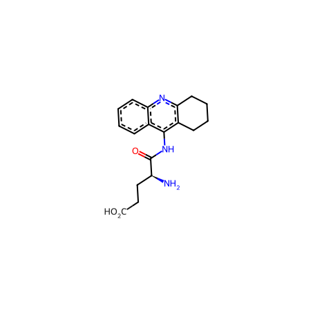 N[C@@H](CCC(=O)O)C(=O)Nc1c2c(nc3ccccc13)CCCC2